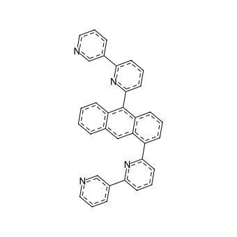 c1cncc(-c2cccc(-c3cccc4c(-c5cccc(-c6cccnc6)n5)c5ccccc5cc34)n2)c1